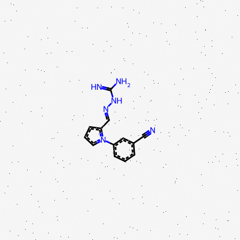 N#Cc1cccc(-n2cccc2/C=N/NC(=N)N)c1